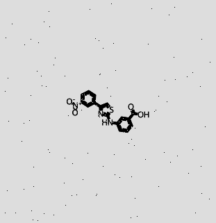 O=C(O)c1cccc(Nc2nc(-c3cccc([N+](=O)[O-])c3)cs2)c1